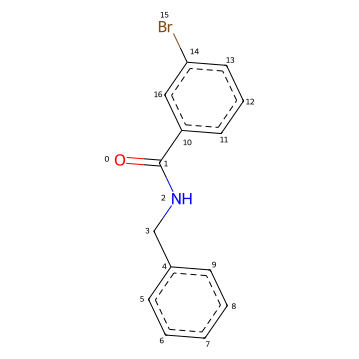 O=C(NCc1ccccc1)c1cccc(Br)c1